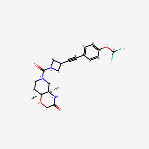 O=C1CO[C@H]2CCN(C(=O)N3CC(C#Cc4ccc(OC(F)F)cc4)C3)C[C@H]2N1